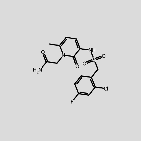 Cc1ccc(NS(=O)(=O)Cc2ccc(F)cc2Cl)c(=O)n1CC(N)=O